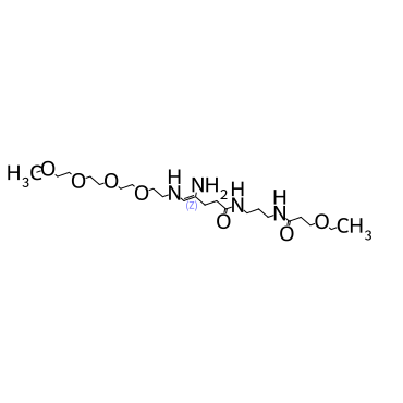 CCOCCC(=O)NCCCNC(=O)CC/C(N)=C/NCCOCCOCCOCCOC